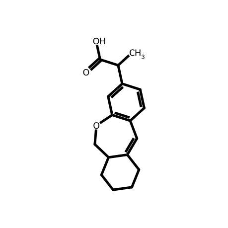 CC(C(=O)O)c1ccc2c(c1)OCC1CCCCC1=C2